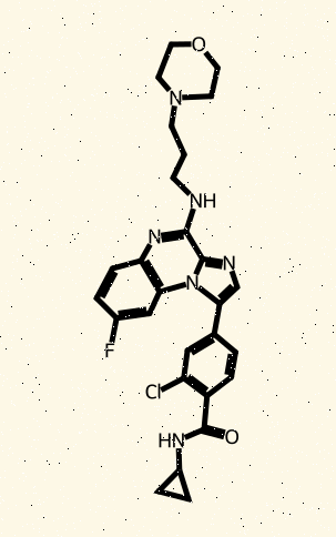 O=C(NC1CC1)c1ccc(-c2cnc3c(NCCCN4CCOCC4)nc4ccc(F)cc4n23)cc1Cl